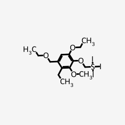 CCOCc1cc(OCC)c(OCS(I)(I)I)c(OC)c1CC